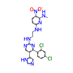 CNc1nc(NCCNc2ncc(-c3cnc[nH]3)c(-c3ccc(Cl)cc3Cl)n2)ccc1[N+](=O)[O-]